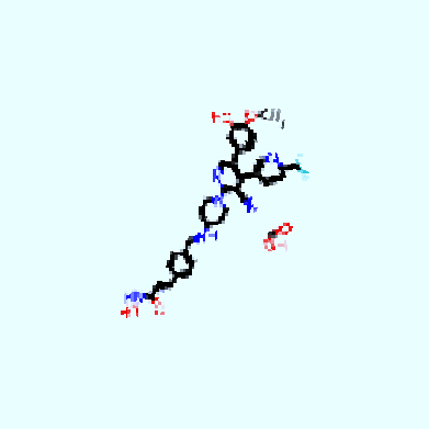 COc1ccc(-c2cnc(N3CCC(NCc4ccc(/C=C/C(=O)NO)cc4)CC3)c(C#N)c2-c2ccc(C(F)F)nc2)cc1O.O=CO